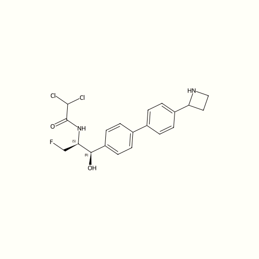 O=C(N[C@H](CF)[C@H](O)c1ccc(-c2ccc(C3CCN3)cc2)cc1)C(Cl)Cl